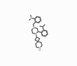 CC(C)c1ccccc1C1CN(Cc2ccccc2N(C)C)CCN1C1CC2(CCNCC2)C1